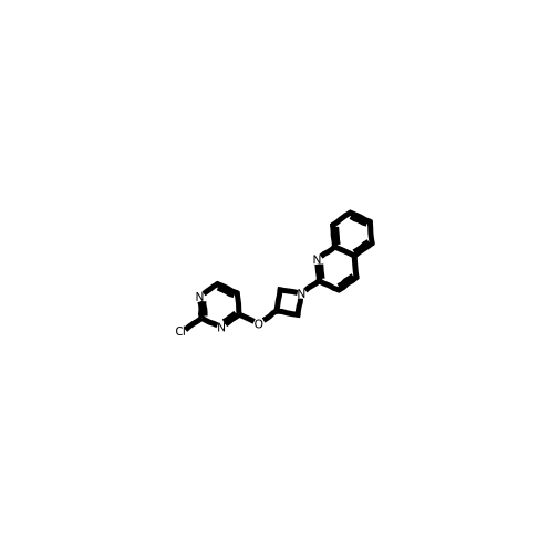 Clc1nccc(OC2CN(c3ccc4ccccc4n3)C2)n1